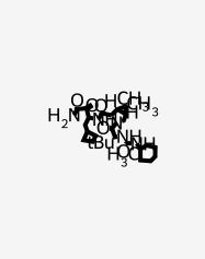 CC1(NC(=O)N[C@H](C(=O)N2C[C@H]3[C@@H](C2C(=O)NC(CC2CCC2)C(=O)C(N)=O)C3(C)C)C(C)(C)C)CCCCC1